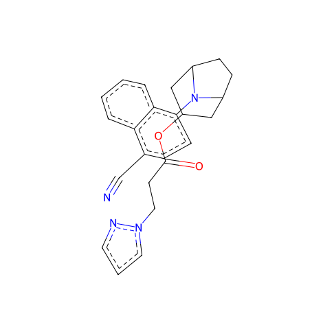 N#Cc1ccc(N2C3CCC2CC(OC(=O)CCn2cccn2)C3)c2ccccc12